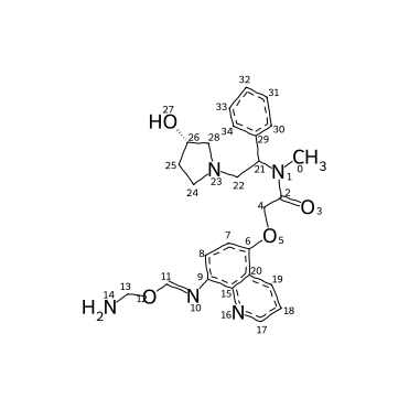 CN(C(=O)COc1ccc(N=COCN)c2ncccc12)C(CN1CC[C@H](O)C1)c1ccccc1